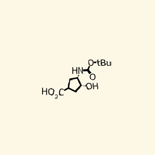 CC(C)(C)OC(=O)N[C@H]1CC(C(=O)O)C[C@H]1O